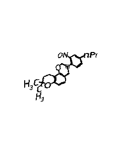 CCCc1ccc([C@@H]2COc3c(ccc4c3CCC(C)(C)O4)C2)c(N=O)c1